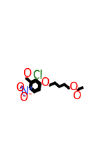 CC(=O)OCCCCCOc1ccc([N+](=O)[O-])c(C=O)c1Cl